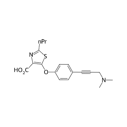 CCCc1nc(C(=O)O)c(Oc2ccc(C#CCN(C)C)cc2)s1